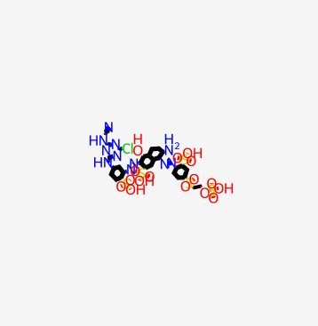 N#CNc1nc(Cl)nc(Nc2ccc(S(=O)(=O)O)c(/N=N/c3c(S(=O)(=O)O)cc4c(/N=N/c5ccc(S(=O)(=O)CCOS(=O)(=O)O)cc5S(=O)(=O)O)c(N)ccc4c3O)c2)n1